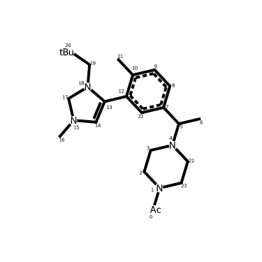 CC(=O)N1CCN(C(C)c2ccc(C)c(C3=CN(C)CN3CC(C)(C)C)c2)CC1